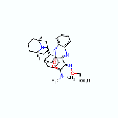 CN(C)C(=O)C(=NOCC(=O)O)c1nc2ccccc2n([C@H]2C[C@H]3CCC[C@@H](C2)N3C=C2C3CCCC2C3)c1=O